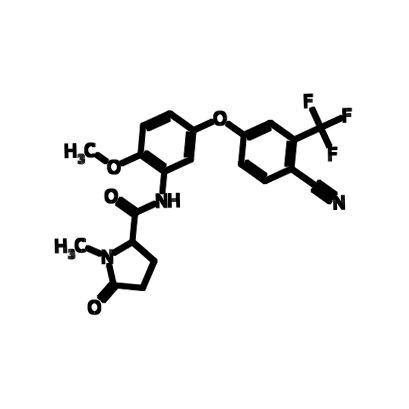 COc1ccc(Oc2ccc(C#N)c(C(F)(F)F)c2)cc1NC(=O)C1CCC(=O)N1C